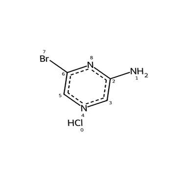 Cl.Nc1cncc(Br)n1